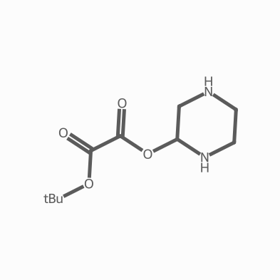 CC(C)(C)OC(=O)C(=O)OC1CNCCN1